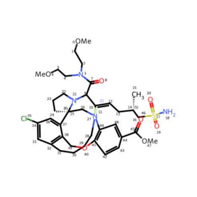 COCCN(CCOC)C(=O)C(/C(F)=C/C[C@H](C)CS(N)(=O)=O)N1CCC[C@@]12CN1CCCCc3cc(Cl)cc2c3COc2ccc(C(=O)OC)cc21